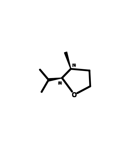 CC(C)[C@@H]1OCC[C@@H]1C